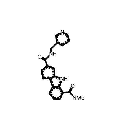 CNC(=O)c1cccc2c1[nH]c1cc(C(=O)NCc3cccnc3)ccc12